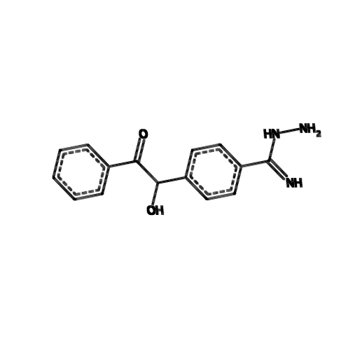 N=C(NN)c1ccc(C(O)C(=O)c2ccccc2)cc1